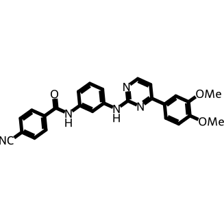 COc1ccc(-c2ccnc(Nc3cccc(NC(=O)c4ccc(C#N)cc4)c3)n2)cc1OC